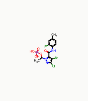 Cc1ccc(NC(=O)c2c(Br)c(Cl)nn2C(C)OP(=O)(O)O)c(F)c1